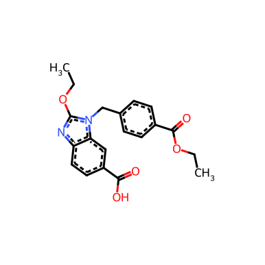 CCOC(=O)c1ccc(Cn2c(OCC)nc3ccc(C(=O)O)cc32)cc1